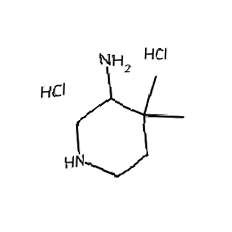 CC1(C)CCNCC1N.Cl.Cl